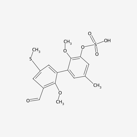 COc1c(C=O)cc(SC)cc1-c1cc(C)cc(OS(=O)(=O)O)c1OC